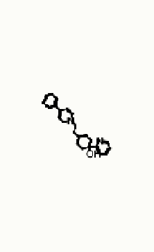 OC1(c2ccccn2)CCC(CCN2C=CC(C3=CCC=CC3)=CC2)CC1